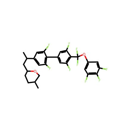 CC1CCC(CC(C)c2cc(F)c(-c3cc(F)c(C(F)(F)Oc4cc(F)c(F)c(F)c4)c(F)c3)c(F)c2)OC1